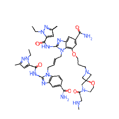 CCn1nc(C)cc1C(=O)Nc1nc2cc(C(N)=O)ccc2n1C/C=C/Cn1c(NC(=O)c2cc(C)nn2CC)nc2cc(C(N)=O)cc(OCCCN3CC4(C3)CN(C(=O)CNC)CCO4)c21